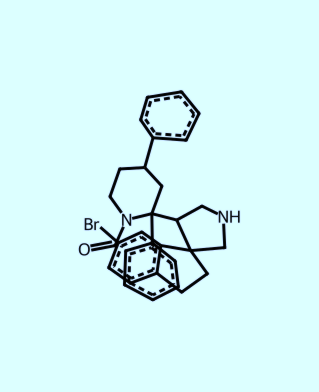 O=CN1CCC(c2ccccc2)CC1(c1ccccc1)C1CNCC12CCc1ccc(Br)cc12